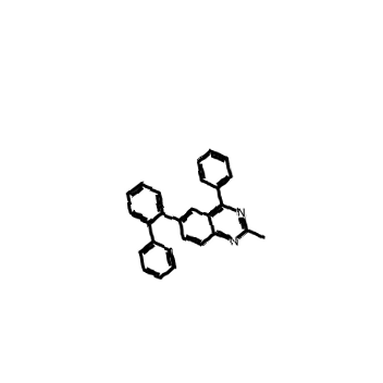 Cc1nc(-c2ccccc2)c2cc(-c3ccccc3-c3ccccc3)ccc2n1